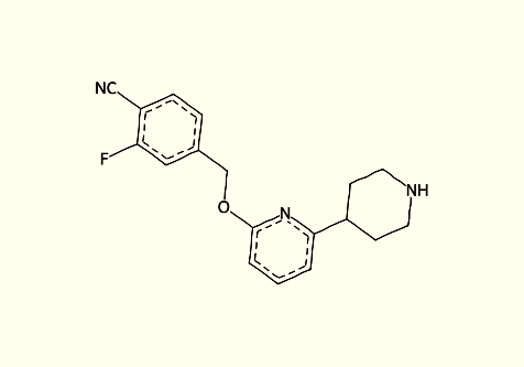 N#Cc1ccc(COc2cccc(C3CCNCC3)n2)cc1F